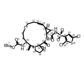 C=C1[C@@H](NC(=O)OC(C)(C)C)CCCCC/C=C\[C@@H]2C[C@@]2(C(=O)NS(=O)(=O)c2cc(Cl)sc2Cl)NC(=O)[C@@H]2CCCN12